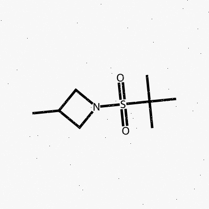 CC1CN(S(=O)(=O)C(C)(C)C)C1